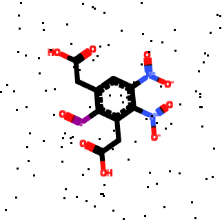 O=Ic1c(CC(=O)O)cc([N+](=O)[O-])c([N+](=O)[O-])c1CC(=O)O